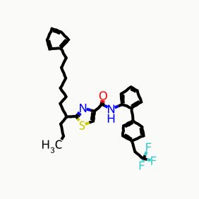 CCCC(CCCCCCc1ccccc1)c1nc(C(=O)Nc2ccccc2-c2ccc(CC(F)(F)F)cc2)cs1